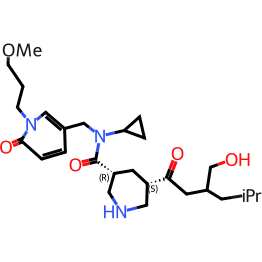 COCCCn1cc(CN(C(=O)[C@H]2CNC[C@@H](C(=O)CC(CO)CC(C)C)C2)C2CC2)ccc1=O